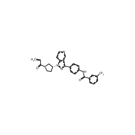 C=CC(=O)N1CC[C@@H](n2nc(-c3ccc(NC(=O)c4cccc(C(F)(F)F)c4)cc3)c3cnccc32)C1